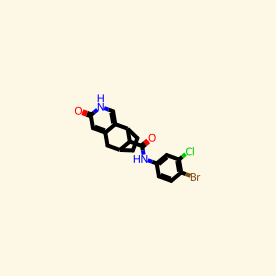 O=C(Nc1ccc(Br)c(Cl)c1)C1C2CCC1c1c[nH]c(=O)cc1C2